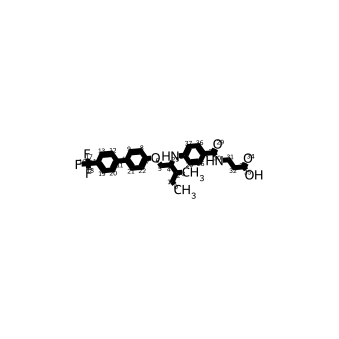 CCC(C)C(COc1ccc(-c2ccc(C(F)(F)F)cc2)cc1)Nc1ccc(C(=O)NCCC(=O)O)cc1